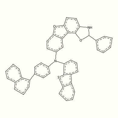 c1ccc(C2Nc3ccc4oc5ccc(N(c6ccc(-c7cccc8ccccc78)cc6)c6cccc7c6sc6ccccc67)cc5c4c3O2)cc1